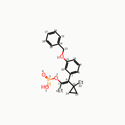 CCC(O[PH](=O)O)=C(c1cccc(OCc2ccccc2)c1)C1(CC)CC1